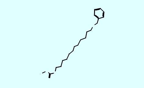 CC(C)(C)OC(=O)NCCCCCCCCCCCCNCc1ccccc1